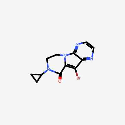 O=C1c2c(Br)c3nccnc3n2CCN1C1CC1